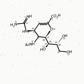 CC(=O)NC1[C@@H](NC(=N)N)C=C(C(=O)O)O[C@H]1[C@H](O)[C@H](O)CO